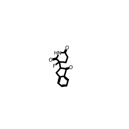 O=C1CCC(F)(C2Cc3ccccc3C2=O)C(=O)N1